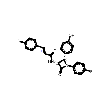 O=C(/C=C/c1ccc(F)cc1)N[C@H]1C(=O)N(c2ccc(F)cc2)[C@H]1c1ccc(O)cc1